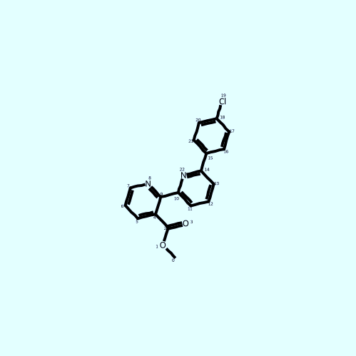 COC(=O)c1cccnc1-c1cccc(-c2ccc(Cl)cc2)n1